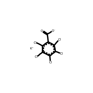 O=C([O-])c1c(Cl)c(Cl)c(Cl)c(Cl)c1Cl.[K+]